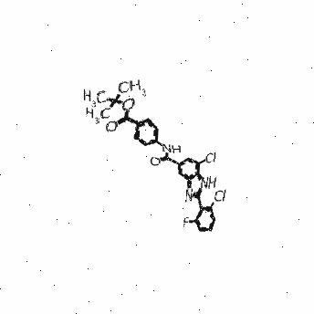 CC(C)(C)OC(=O)c1ccc(NC(=O)c2cc(Cl)c3[nH]c(-c4c(F)cccc4Cl)nc3c2)cc1